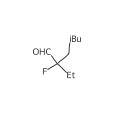 CCC(C)CC(F)(C=O)CC